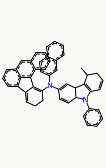 CC1CC=CC2=C1C1C=C(N(C3=C4C(=CCC3)c3cccc5cc6ccccc6c4c35)c3ccc4ccccc4c3)C=CC1N2c1ccccc1